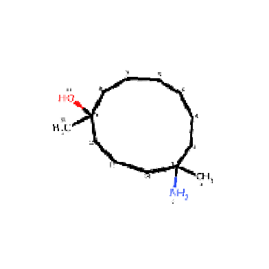 CC1(N)CCCCCCC(C)(O)CCC1